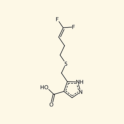 O=C(O)c1cn[nH]c1CSCCC=C(F)F